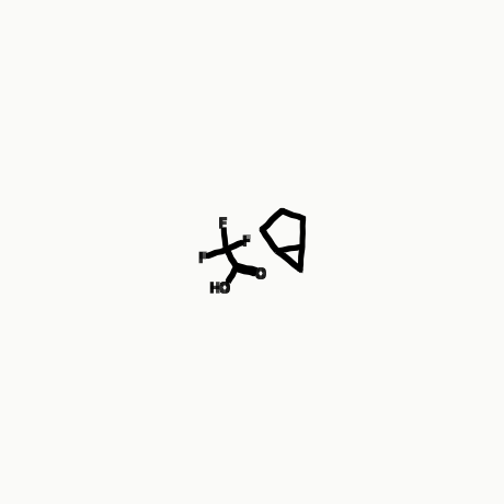 C1CC2CC2C1.O=C(O)C(F)(F)F